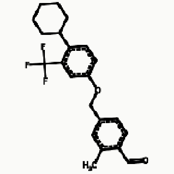 Cc1cc(COc2ccc(C3CCCCC3)c(C(F)(F)F)c2)ccc1C=O